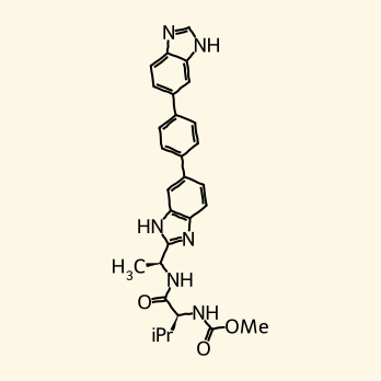 COC(=O)N[C@H](C(=O)N[C@@H](C)c1nc2ccc(-c3ccc(-c4ccc5nc[nH]c5c4)cc3)cc2[nH]1)C(C)C